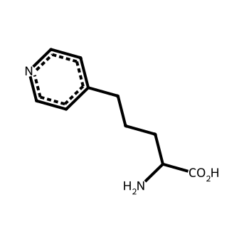 NC(CCCc1ccncc1)C(=O)O